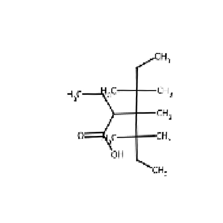 CCC(C(=O)O)C(C)(C(C)(C)CC)C(C)(C)CC